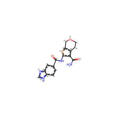 NC(=O)c1c(NC(=O)c2ccc3[nH]cnc3c2)sc2c1CCOC2